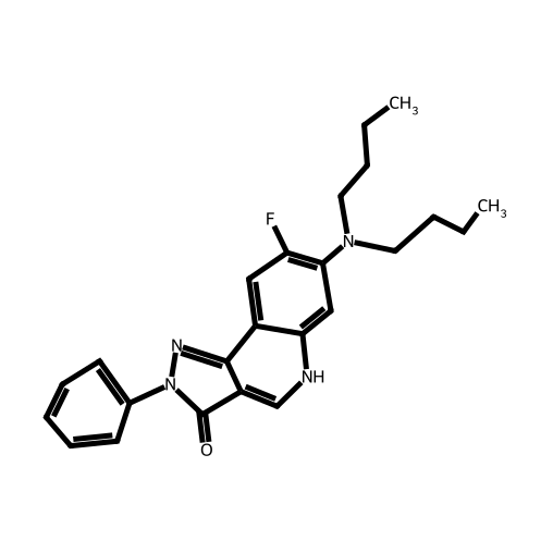 CCCCN(CCCC)c1cc2[nH]cc3c(=O)n(-c4ccccc4)nc-3c2cc1F